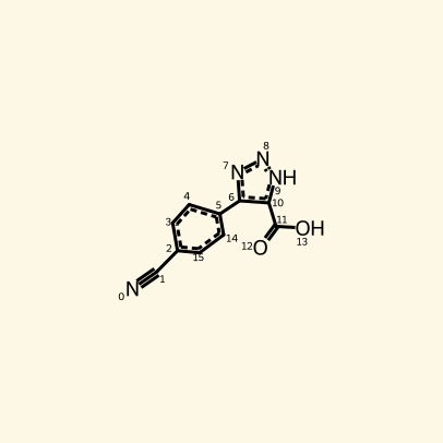 N#Cc1ccc(-c2nn[nH]c2C(=O)O)cc1